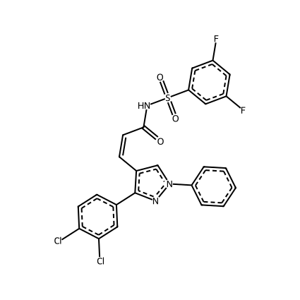 O=C(/C=C\c1cn(-c2ccccc2)nc1-c1ccc(Cl)c(Cl)c1)NS(=O)(=O)c1cc(F)cc(F)c1